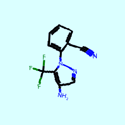 N#Cc1ccccc1-n1ncc(N)c1C(F)(F)F